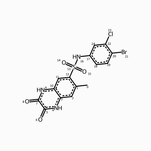 Cc1cc2[nH]c(=O)c(=O)[nH]c2cc1S(=O)(=O)Nc1ccc(Br)c(Cl)c1